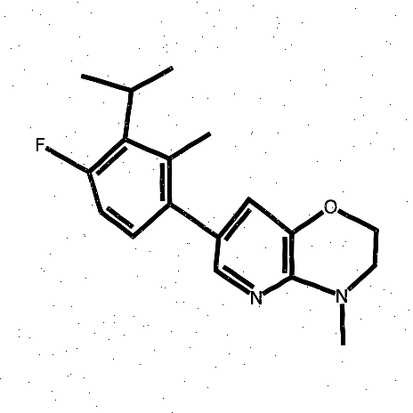 Cc1c(-c2cnc3c(c2)OCCN3C)ccc(F)c1C(C)C